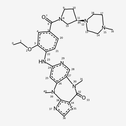 CCOc1cc(C(=O)N2CC[C@@H](N3CCN(C)CC3)C2)ccc1Nc1cc2c(cn1)N(C)C(=O)c1scnc1N2C